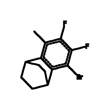 Cc1c(F)c(F)c(Br)c2c1C1CCC2CC1